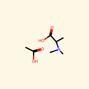 CC(=O)O.CC(C(=O)O)N(C)C